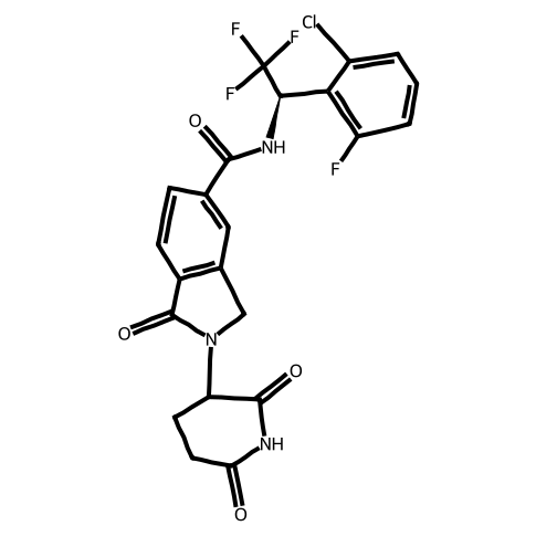 O=C1CCC(N2Cc3cc(C(=O)N[C@H](c4c(F)cccc4Cl)C(F)(F)F)ccc3C2=O)C(=O)N1